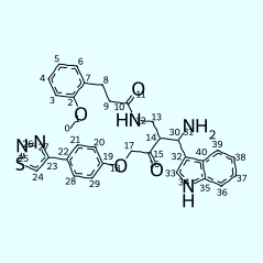 COc1ccccc1CCC(=O)NCC(C(=O)COc1ccc(-c2csnn2)cc1)C(N)c1c[nH]c2ccccc12